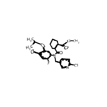 COC(=O)C1=C(C(=O)N(Cc2ccc(Cl)nc2)c2cc(OC(C)C)c(Cl)cc2F)CCCC1